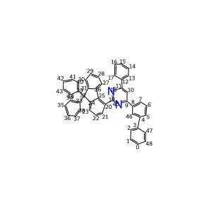 c1ccc(-c2cccc(-c3cc(-c4ccccc4)nc(-c4cccc5c4-c4ccccc4C5(c4ccccc4)c4ccccc4)n3)c2)cc1